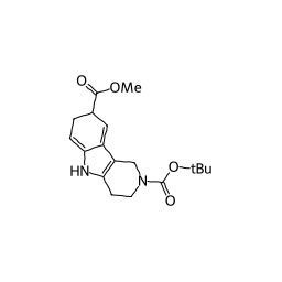 COC(=O)C1C=c2c3c([nH]c2=CC1)CCN(C(=O)OC(C)(C)C)C3